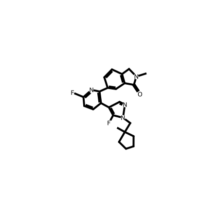 CN1Cc2ccc(-c3nc(F)ccc3-c3cnn(CC4(C)CCCC4)c3F)cc2C1=O